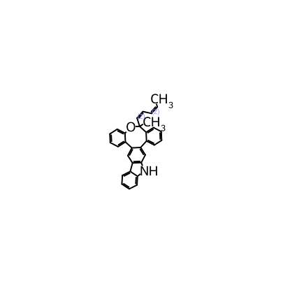 C/C=C\C=C/C1(C)Oc2ccccc2-c2cc3c(cc2-c2ccccc21)[nH]c1ccccc13